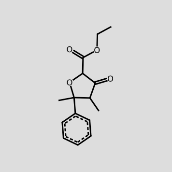 CCOC(=O)C1OC(C)(c2ccccc2)C(C)C1=O